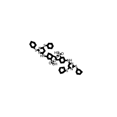 O=S(=O)(O)c1cc(Nc2cc(Sc3ccccc3)nc(Sc3ccccc3)n2)ccc1C=Cc1ccc(Nc2cc(Sc3ccccc3)nc(Sc3ccccc3)n2)cc1S(=O)(=O)O